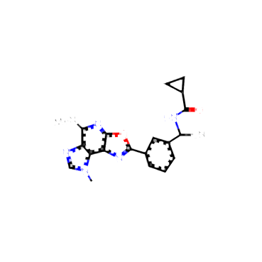 CNc1nc2oc(-c3cccc(C(C#N)NC(=O)C4CC4)c3)nc2c2c1ncn2C